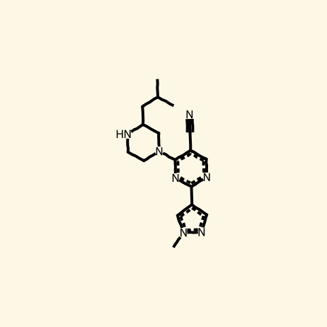 CC(C)CC1CN(c2nc(-c3cnn(C)c3)ncc2C#N)CCN1